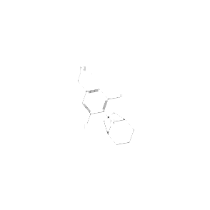 NCc1cc(F)c(N2C3CCCC2CC3)c(F)c1